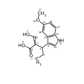 CCC(C(=NO)C(=O)O)c1c[nH]c2ccc(OC)cc12